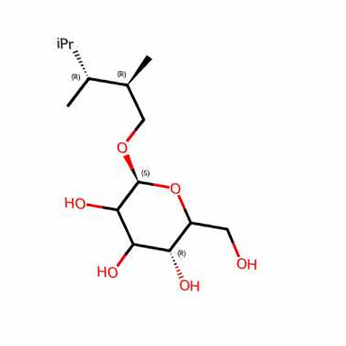 CC(C)[C@@H](C)[C@@H](C)CO[C@H]1OC(CO)[C@H](O)C(O)C1O